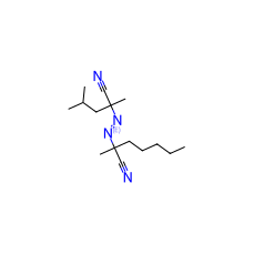 CCCCCC(C)(C#N)/N=N/C(C)(C#N)CC(C)C